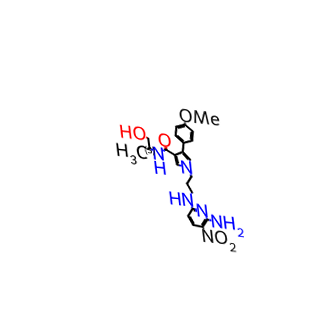 COc1ccc(-c2cn(CCCNc3ccc([N+](=O)[O-])c(N)n3)cc2C(=O)N[C@@H](C)CO)cc1